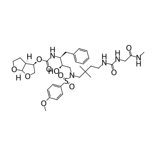 CNC(=O)CNC(=O)NCCC(C)(C)CN(C[C@@H](O)[C@H](Cc1ccccc1)NC(=O)O[C@H]1CO[C@H]2OCC[C@H]21)S(=O)(=O)c1ccc(OC)cc1